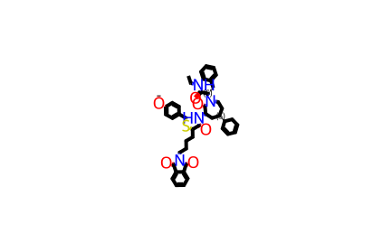 CCNC(=O)[C@H](Cc1ccccc1)N1CC[C@H](C2C=CC=CC2)CC(NC(=O)C(CCCCN2C(=O)c3ccccc3C2=O)SCc2ccc(OC)cc2)C1=O